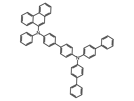 c1ccc(-c2ccc(N(c3ccc(-c4ccccc4)cc3)c3ccc(-c4ccc(N(c5ccccc5)c5cc6ccccc6c6ccccc56)cc4)cc3)cc2)cc1